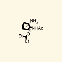 CCC(CC)O[C@@H]1C=CC[C@H](N)[C@H]1NC(C)=O